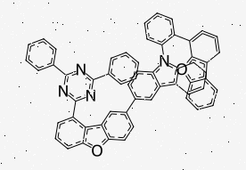 C1=C=C(c2ccccc2-n2c3c(c4cc(-c5ccc6oc7cccc(-c8nc(-c9ccccc9)nc(-c9ccccc9)n8)c7c6c5)ccc42)C=CCC3)c2oc3ccccc3c2C=1